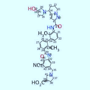 Cc1c(NC(=O)c2cc3n(n2)CCCC3N2CC[C@@H](O)C2)cccc1-c1cccc(-c2nc3cc(CN4CC[C@@H](C(=O)O)C4)cc(C#N)c3o2)c1C